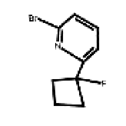 FC1(c2cccc(Br)n2)CCC1